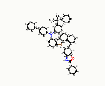 CC1(C)c2ccccc2-c2ccc(N(c3ccc(-c4ccccc4)cc3)c3cccc4sc5c(ccc6cccc(-c7ccc8nc(-c9ccccc9)oc8c7)c65)c34)cc21